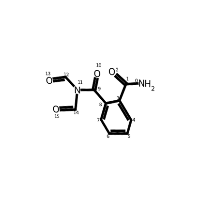 NC(=O)c1ccccc1C(=O)N(C=O)C=O